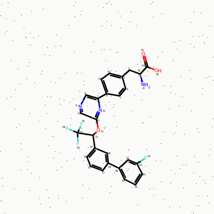 N[C@@H](Cc1ccc(-c2cncc(OC(c3cccc(-c4cccc(F)c4)c3)C(F)(F)F)n2)cc1)C(=O)O